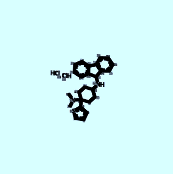 CN(C)C1(c2cccs2)CCC(NC2c3ccccc3-c3ccccc32)CC1.Cl.Cl